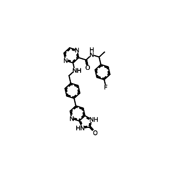 CC(NC(=O)c1nccnc1NCc1ccc(-c2cnc3[nH]c(=O)[nH]c3c2)cc1)c1ccc(F)cc1